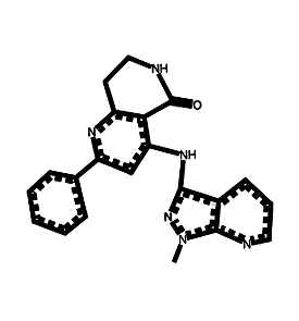 Cn1nc(Nc2cc(-c3ccccc3)nc3c2C(=O)NCC3)c2cccnc21